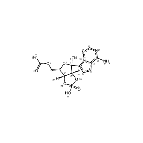 CC(C)C(=O)OC[C@H]1O[C@@](C#N)(c2ccc3c(N)ncnn23)[C@@H]2OP(=O)(O)O[C@@H]21